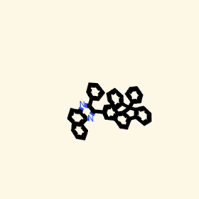 c1ccc(-c2nc3ccc4ccccc4c3nc2-c2ccc3c4c(ccc3c2)-c2ccccc2C4(c2ccccc2)c2ccccc2)cc1